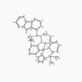 Bc1cccc2c1C(CC(C)c1cccc3c4c(oc13)C=C=C=C4)C(/C=C\C)C21c2ccccc2C(C)(C)C2C=CC=CC21